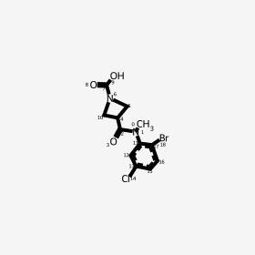 CN(C(=O)C1CN(C(=O)O)C1)c1cc(Cl)ccc1Br